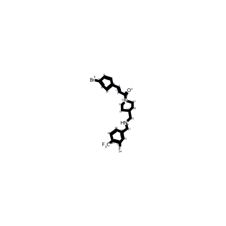 O=C(/C=C/c1ccc(Br)cc1)N1CCC(CNCc2ccc(C(F)(F)F)c(F)c2)CC1